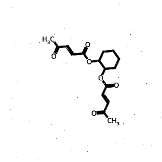 CC(=O)C=CC(=O)OC1CCCCC1OC(=O)C=CC(C)=O